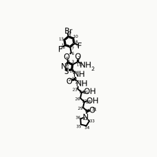 NC(=O)c1c(OCc2c(F)cc(Br)cc2F)nsc1NC(=O)NCC(O)CC(O)CC(=O)N1CCCC1